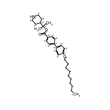 CCCCCCCCCCOc1ccc(-c2ccc(C(=O)OC(C)(C)C3CCNCC3)cc2)cc1